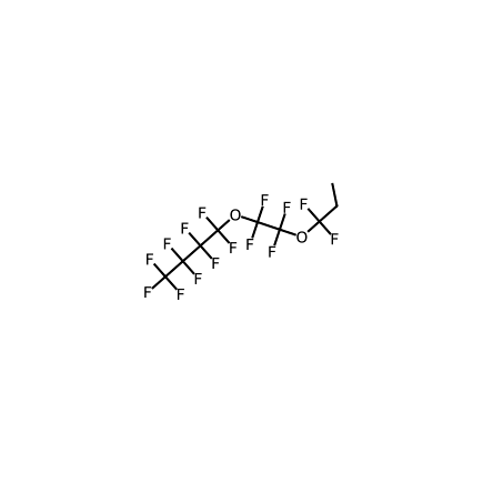 CCC(F)(F)OC(F)(F)C(F)(F)OC(F)(F)C(F)(F)C(F)(F)C(F)(F)F